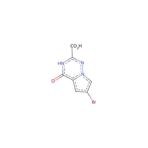 O=C(O)c1nn2cc(Br)cc2c(=O)[nH]1